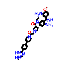 CCN(C(=O)[C@@H]1CCN(CC(=O)N2CC=C(c3ccc(C(=N)/N=C\NC)cc3)CC2)C1)c1ccc(N)c(C(=N)c2ccc(OC)c(N)c2)c1